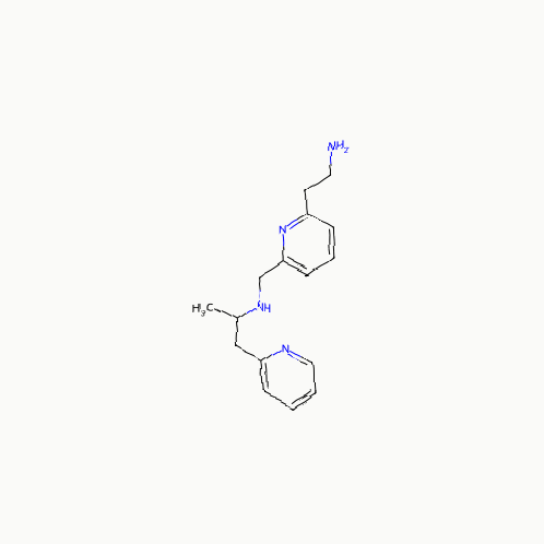 CC(Cc1ccccn1)NCc1cccc(CCN)n1